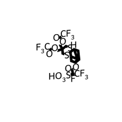 O=C(OCC1(COC(=O)C(F)(F)F)CSC2(SC1)C1CC3C[C@H]2CC(OC(=O)C(F)(C(F)(F)F)S(=O)(=O)O)(C3)C1)C(F)(F)F